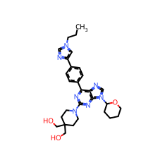 CCCn1cnc(-c2ccc(-c3nc(N4CCC(CO)(CO)CC4)nc4c3ncn4C3CCCCO3)cc2)c1